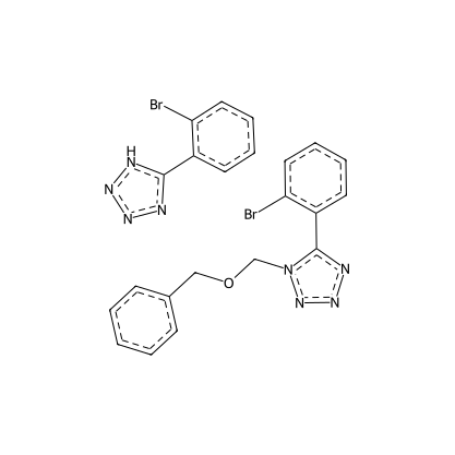 Brc1ccccc1-c1nnn[nH]1.Brc1ccccc1-c1nnnn1COCc1ccccc1